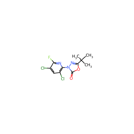 CC(C)(C)c1nn(-c2nc(F)c(Cl)cc2Cl)c(=O)o1